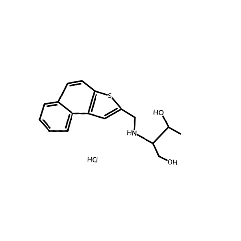 CC(O)C(CO)NCc1cc2c(ccc3ccccc32)s1.Cl